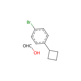 Brc1ccc(C2CCC2)cc1.O=CO